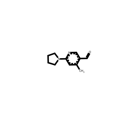 Cc1cc(N2CCCC2)ncc1C=O